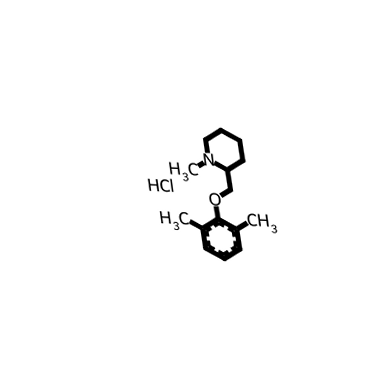 Cc1cccc(C)c1OCC1CCCCN1C.Cl